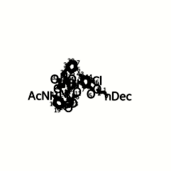 CCCCCCCCCCCCOC(=O)c1cc(NC(=O)C(C2=Nc3c(NC(C)=O)cccc3S(=O)(=O)N2C)N2C(=O)C(=O)N(Cc3ccccc3)C2=O)c(C)cc1Cl